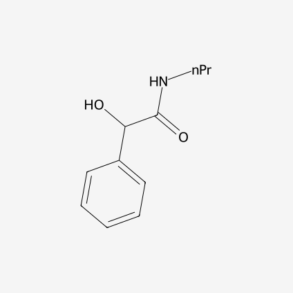 CCCNC(=O)C(O)c1ccccc1